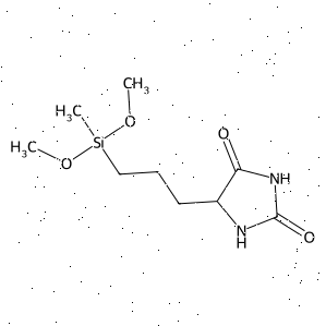 CO[Si](C)(CCCC1NC(=O)NC1=O)OC